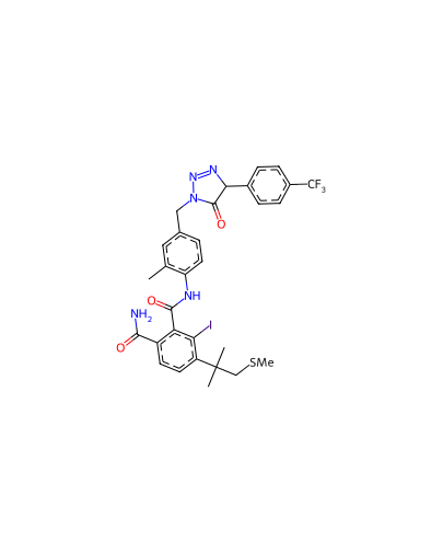 CSCC(C)(C)c1ccc(C(N)=O)c(C(=O)Nc2ccc(CN3N=NC(c4ccc(C(F)(F)F)cc4)C3=O)cc2C)c1I